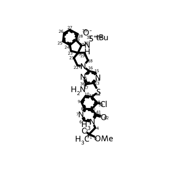 COC(C)(C)Cn1cnc2ccc(Sc3ncc(N4CCC5(CC4)Cc4ccccc4[C@H]5N[S+]([O-])C(C)(C)C)nc3N)c(Cl)c2c1=O